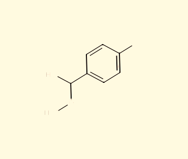 COC(O)c1ccc(O)cc1